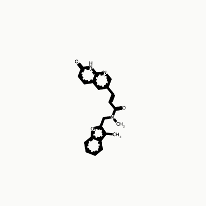 Cc1c(CN(C)C(=O)C=Cc2cnc3[nH]c(=O)ccc3c2)oc2ccccc12